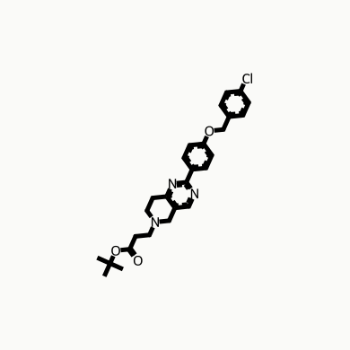 CC(C)(C)OC(=O)CCN1CCc2nc(-c3ccc(OCc4ccc(Cl)cc4)cc3)ncc2C1